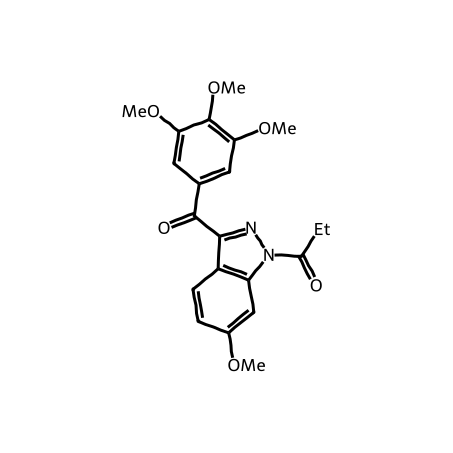 CCC(=O)n1nc(C(=O)c2cc(OC)c(OC)c(OC)c2)c2ccc(OC)cc21